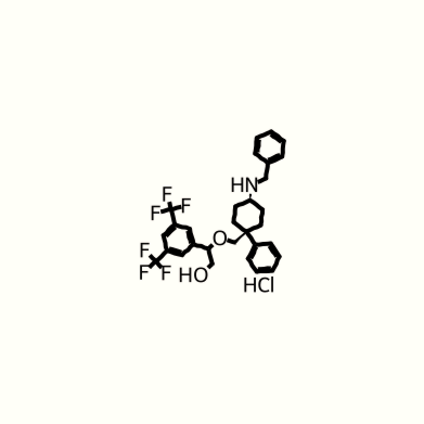 Cl.OCC(OC[C@]1(c2ccccc2)CC[C@@H](NCc2ccccc2)CC1)c1cc(C(F)(F)F)cc(C(F)(F)F)c1